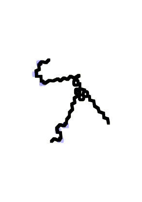 C=C(CCCCCCC/C=C\C/C=C\C/C=C\CC)OCC(COCCCCCCCCCC)OC(=O)CCCCCCC/C=C\C/C=C\C/C=C\CC